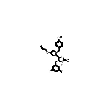 C=CCO[C@@H]1C[C@H]([C@H]2OC(=O)N[C@H]2Cc2cc(F)cc(F)c2)N(Cc2ccc(OC)cc2)C1